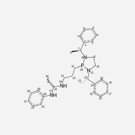 C[C@@H](c1ccccc1)N1CCN([C@@H](C)c2ccccc2)P1CCCNC(=S)Nc1ccccc1